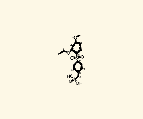 CCOc1cc(OC)ccc1S(=O)(=O)c1ccc(CP(=O)(O)O)cc1